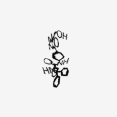 O=C(N[C@H]1CC[C@H](c2nnc(CO)o2)CC1)C1=CC(c2ccccc2)(c2ccccc2)ON1